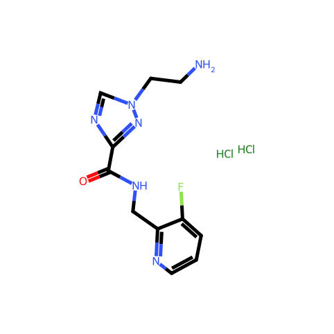 Cl.Cl.NCCn1cnc(C(=O)NCc2ncccc2F)n1